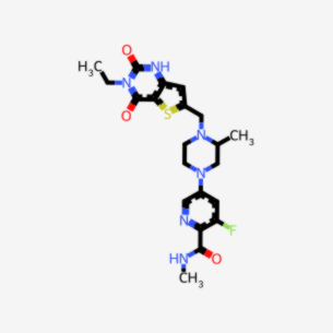 CCn1c(=O)[nH]c2cc(CN3CCN(c4cnc(C(=O)NC)c(F)c4)CC3C)sc2c1=O